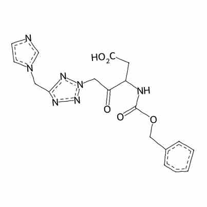 O=C(O)CC(NC(=O)OCc1ccccc1)C(=O)Cn1nnc(Cn2ccnc2)n1